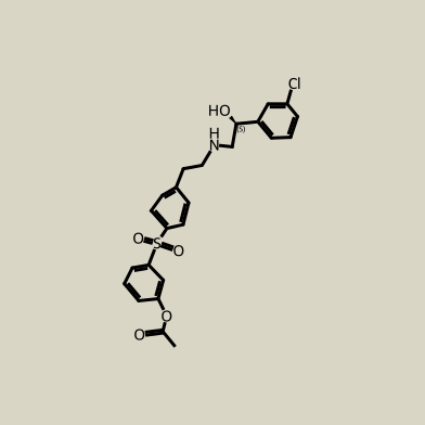 CC(=O)Oc1cccc(S(=O)(=O)c2ccc(CCNC[C@@H](O)c3cccc(Cl)c3)cc2)c1